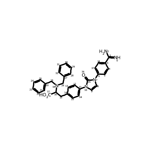 N=C(N)c1ccc(-n2ccn(-c3ccc(CC(C(=O)O)N(Cc4ccccc4)Cc4ccccc4)cc3)c2=O)cc1